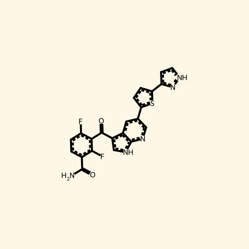 NC(=O)c1ccc(F)c(C(=O)c2c[nH]c3ncc(-c4ccc(-c5cc[nH]n5)s4)cc23)c1F